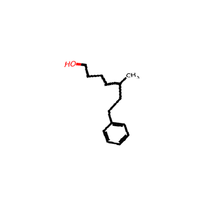 CC(CCCCO)CCc1ccccc1